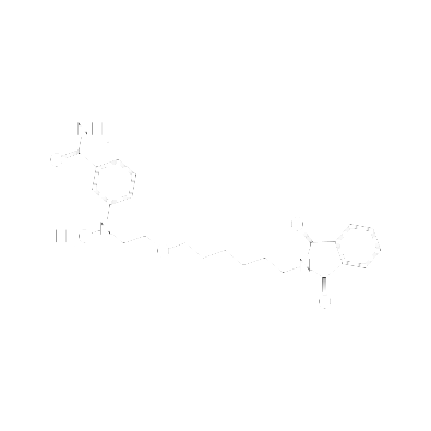 CN(CCOCCCCCCN1C(=O)c2ccccc2C1=O)c1cccc(C(N)=O)c1